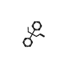 C=CCC(CC)(c1ccccc1)c1ccccc1